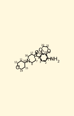 Nc1ccc(P2(=O)CCN(C3CCOCC3)CC2)c2c1OCCO2